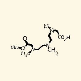 CCN(CCN(C)CCN(C)CC(=O)OC(C)(C)C)CC(=O)O